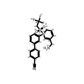 N#Cc1ccc(-c2cccc([N+]3(S(=O)(=O)CC(F)(F)F)C=C(CN)C=CC3)c2)cc1